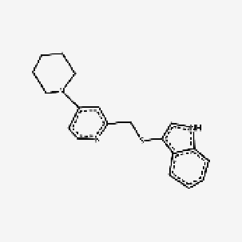 c1ccc2c(SCc3cc(N4CCCCC4)ccn3)c[nH]c2c1